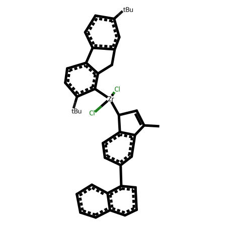 CC1=C[CH]([Zr]([Cl])([Cl])[c]2c(C(C)(C)C)ccc3c2Cc2cc(C(C)(C)C)ccc2-3)c2ccc(-c3cccc4ccccc34)cc21